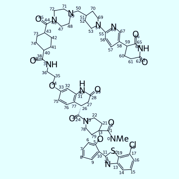 CNC(=O)C1(Oc2ccccc2-c2nc3cccc(Cl)c3s2)CCN(C(=O)[C@H]2CC(=O)Nc3cc(OCCNC(=O)C4CCC(C(=O)N5CCN(CC6CCN(c7ccc(C8CCC(=O)NC8=O)cn7)CC6)CC5)CC4)ccc32)CC1